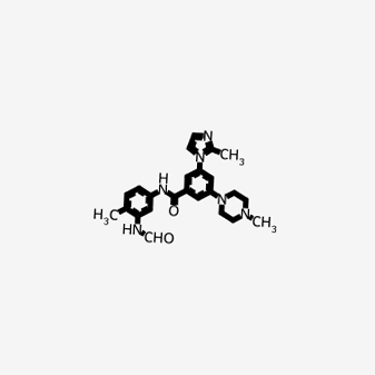 Cc1ccc(NC(=O)c2cc(N3CCN(C)CC3)cc(-n3ccnc3C)c2)cc1NC=O